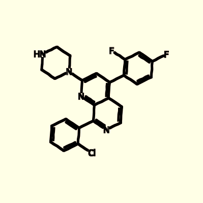 Fc1ccc(-c2cc(N3CCNCC3)nc3c(-c4ccccc4Cl)nccc23)c(F)c1